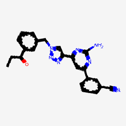 CCC(=O)c1cccc(Cn2cc(-c3cc(-c4cccc(C#N)c4)nc(N)n3)nn2)c1